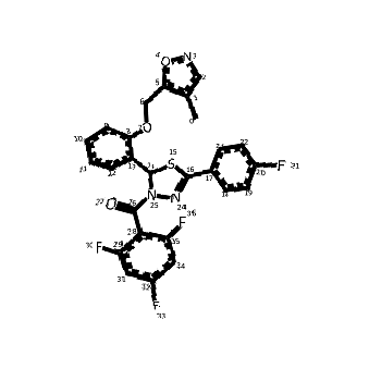 Cc1cnoc1COc1ccccc1C1SC(c2ccc(F)cc2)=NN1C(=O)c1c(F)cc(F)cc1F